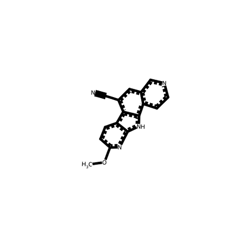 COc1ccc2c(n1)[nH]c1c3ccncc3cc(C#N)c21